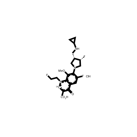 COc1c(N2C[C@H](CNC3CC3)[C@H](F)C2)c(F)cc2c(=O)c(C(=O)O)[14cH]n(CCF)c12.Cl